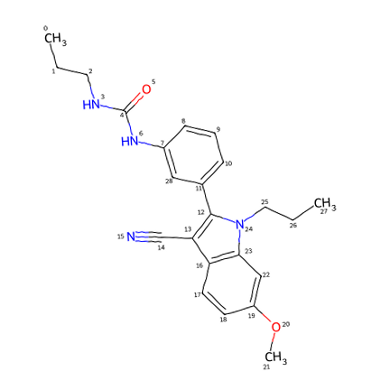 CCCNC(=O)Nc1cccc(-c2c(C#N)c3ccc(OC)cc3n2CCC)c1